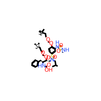 CNS(=O)(=O)Nc1cc(S(=O)(=O)N(CC(C)C)C[C@@H](OCOCC[Si](C)(C)C)[C@H](Cc2ccccc2)NC(=O)O)ccc1OCOCC[Si](C)(C)C